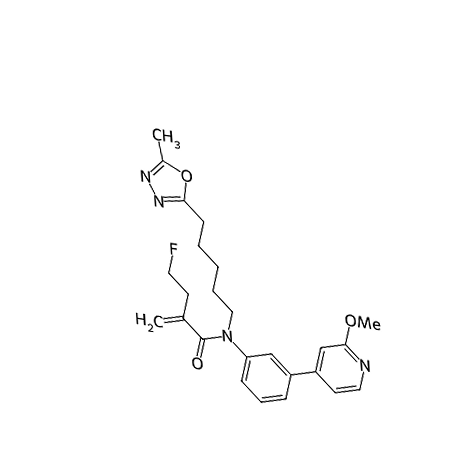 C=C(CCF)C(=O)N(CCCCCc1nnc(C)o1)c1cccc(-c2ccnc(OC)c2)c1